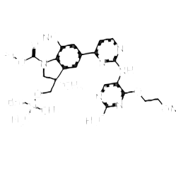 COCCOc1nc(C)ncc1Nc1nccc(-c2cc(C#N)c3c(c2)[C@@](C)(CO[Si](C)(C)C(C)(C)C)CN3C(=O)OC(C)(C)C)n1